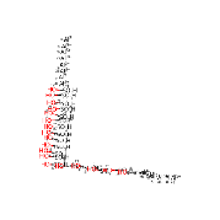 O=S(=O)(O)O.O=S(=O)(O)O.O=S(=O)(O)O.O=S(=O)(O)O.O=S(=O)(O)O.O=S(=O)(O)O.O=S(=O)(O)O.O=S(=O)(O)O.O=S(=O)(O)O.O=S(=O)(O)O.O=S(=O)(O)O.O=S(=O)(O)O.O=S(=O)(O)O.O=S(=O)(O)O.O=S(=O)(O)O.O=S(=O)(O)O.O=S(=O)(O)O.O=S(=O)(O)O.[Al+3].[Al+3].[Al+3].[Al+3].[Al+3].[Al+3].[Al+3].[Al+3].[Al+3].[Al+3].[Al+3].[Al+3].[Al+3].[Al+3]